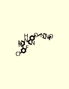 CC(=O)N1CCN(CCOc2ccc3c(Nc4cnnc(-c5cc(Cl)ccc5F)c4)ccnc3c2)CC1